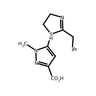 CC(C)CC1=NCC[SH]1c1cc(C(=O)O)nn1C